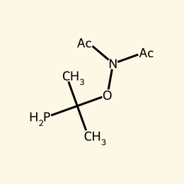 CC(=O)N(OC(C)(C)P)C(C)=O